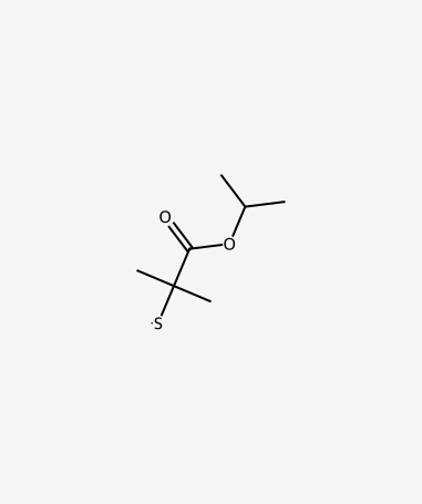 CC(C)OC(=O)C(C)(C)[S]